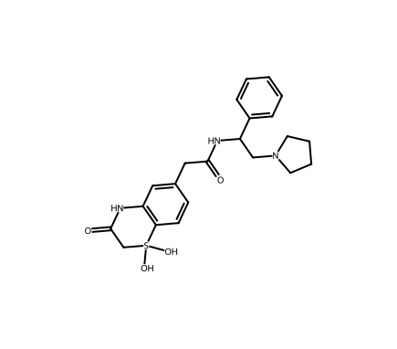 O=C1CS(O)(O)c2ccc(CC(=O)NC(CN3CCCC3)c3ccccc3)cc2N1